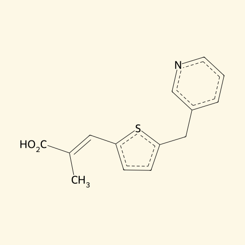 C/C(=C\c1ccc(Cc2cccnc2)s1)C(=O)O